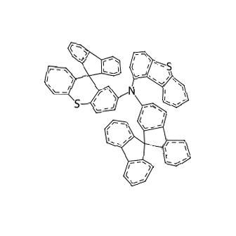 c1ccc2c(c1)Sc1ccc(N(c3ccc4c(c3)C3(c5ccccc5-c5ccccc53)c3ccccc3-4)c3cccc4sc5ccccc5c34)cc1C21c2ccccc2-c2ccccc21